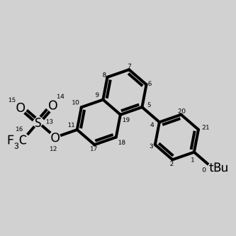 CC(C)(C)c1ccc(-c2cccc3cc(OS(=O)(=O)C(F)(F)F)ccc23)cc1